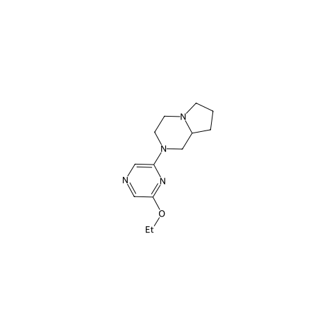 CCOc1cncc(N2CCN3CCCC3C2)n1